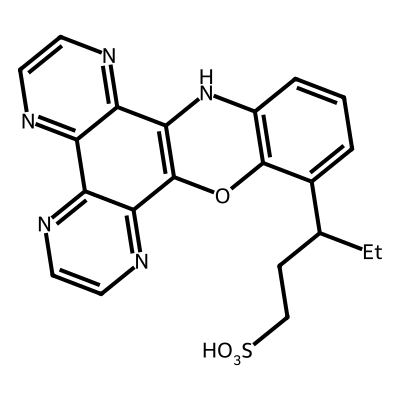 CCC(CCS(=O)(=O)O)c1cccc2c1Oc1c(c3nccnc3c3nccnc13)N2